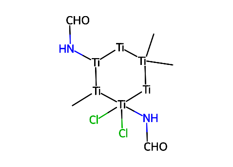 [CH3][Ti]1[Ti]([NH]C=O)[Ti][Ti]([CH3])([CH3])[Ti][Ti]1([Cl])([Cl])[NH]C=O